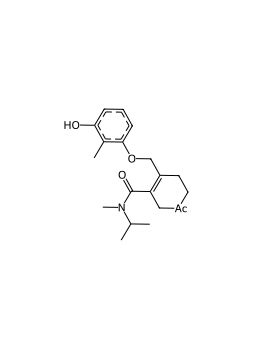 Cc1c(O)cccc1OCC1=C(C(=O)N(C)C(C)C)[CH2][Ac][CH2]C1